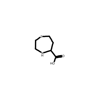 O=C(O)C1CCSCCN1